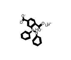 O=C([O-])c1ccc(C(=O)[O-])c(N(Nc2ccccc2)c2ccccc2)c1.[Li+].[Li+]